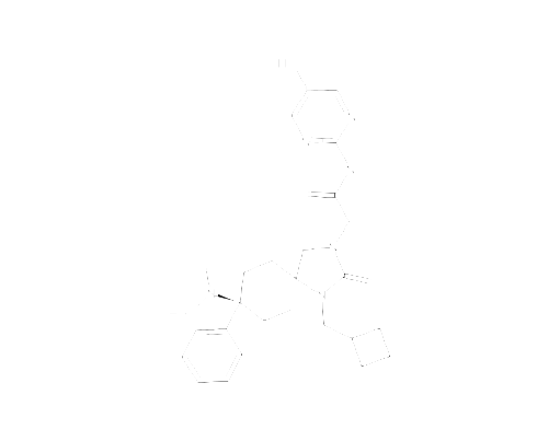 CN(C)[C@]1(c2ccccc2)CC[C@]2(CC1)CN(CC(=O)Nc1ncc(O)cn1)C(=O)N2CC1CCC1